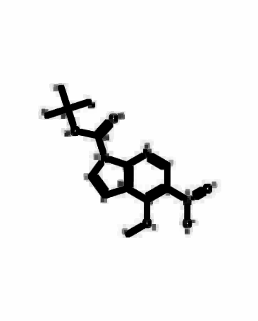 COc1c([N+](=O)[O-])cnc2c1ccn2C(=O)OC(C)(C)C